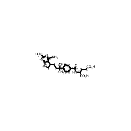 CC(C)(CCC1CNc2nc(N)nc(N)c21)c1ccc(C(=O)N[C@@H](CCC(=O)O)C(=O)O)cc1